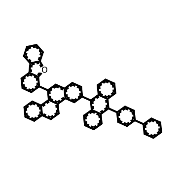 c1ccc(-c2ccc(-c3c4ccccc4c(-c4ccc5cc(-c6cccc7c6oc6ccccc67)c6c7ccccc7ccc6c5c4)c4ccccc34)cc2)cc1